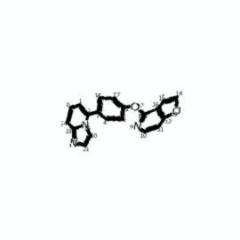 c1cc(-c2ccc(Oc3nccc4occc34)cc2)n2ccnc2c1